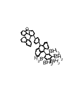 Bc1c(B)c(B)c(-c2c3ccccc3c(-c3ccc(-c4ccc5oc6ccccc6c5c4-c4cccc5ccccc45)cc3)c3ccccc23)c(B)c1B